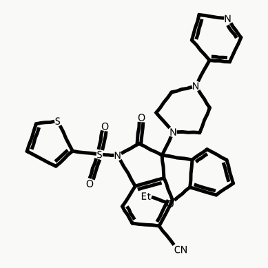 CCOc1ccccc1C1(N2CCN(c3ccncc3)CC2)C(=O)N(S(=O)(=O)c2cccs2)c2ccc(C#N)cc21